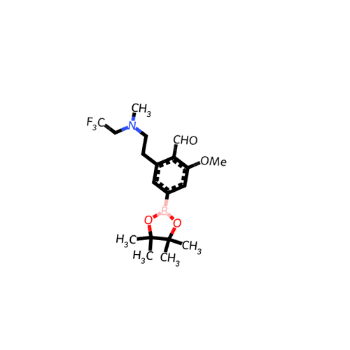 COc1cc(B2OC(C)(C)C(C)(C)O2)cc(CCN(C)CC(F)(F)F)c1C=O